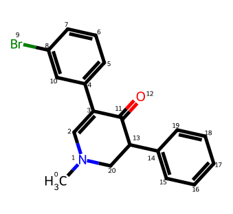 CN1C=C(c2cccc(Br)c2)C(=O)C(c2ccccc2)C1